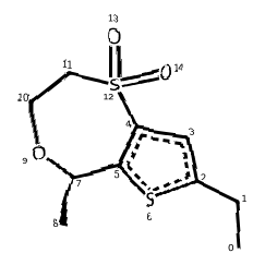 CCc1cc2c(s1)[C@@H](C)OCCS2(=O)=O